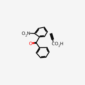 C#CC(=O)O.O=C(c1ccccc1)c1ccccc1[N+](=O)[O-]